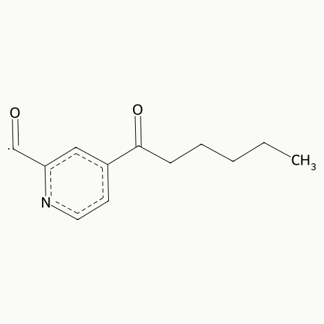 CCCCCC(=O)c1ccnc([C]=O)c1